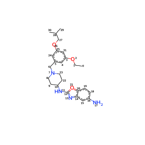 CCOc1cc(CN2CCC(Nc3nc4cc(N)ccc4o3)CC2)cc(OCC(C)C)c1